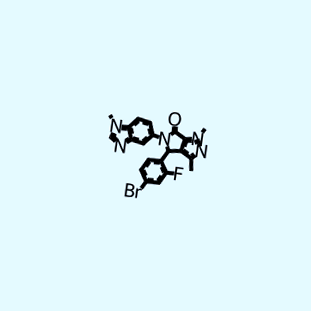 Cc1nn(C)c2c1C(c1ccc(Br)cc1F)N(c1ccc3c(c1)ncn3C)C2=O